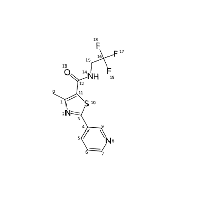 Cc1nc(-c2cccnc2)sc1C(=O)NCC(F)(F)F